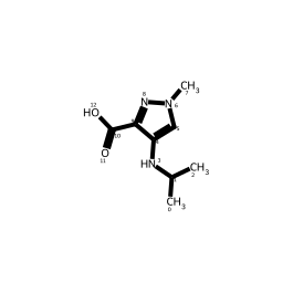 CC(C)Nc1cn(C)nc1C(=O)O